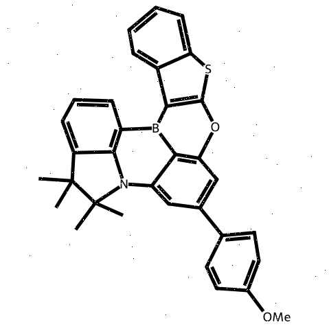 COc1ccc(-c2cc3c4c(c2)N2c5c(cccc5C(C)(C)C2(C)C)B4c2c(sc4ccccc24)O3)cc1